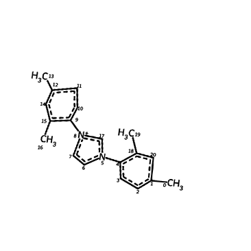 Cc1ccc(-n2cc[n+](-c3ccc(C)cc3C)c2)c(C)c1